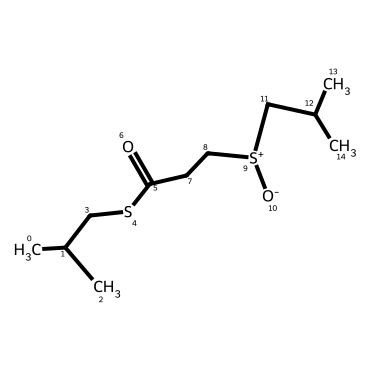 CC(C)CSC(=O)CC[S+]([O-])CC(C)C